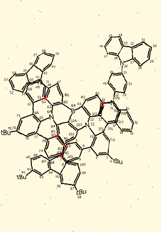 CC(C)(C)c1cc(-c2ccccc2)c(N2c3cc(N(c4ccccc4)c4ccc(-n5c6ccccc6c6ccccc65)cc4)ccc3B3c4ccc(-n5c6ccccc6c6ccccc65)cc4N(c4c(-c5ccccc5)cc(C(C)(C)C)cc4-c4ccccc4)c4cc(-n5c6ccc(C(C)(C)C)cc6c6cc(C(C)(C)C)ccc65)cc2c43)c(-c2ccccc2)c1